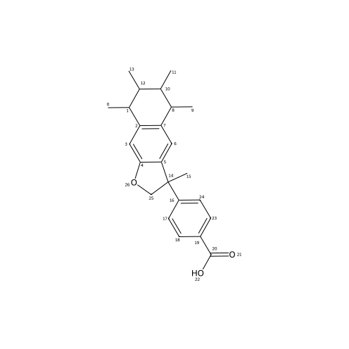 CC1c2cc3c(cc2C(C)C(C)C1C)C(C)(c1ccc(C(=O)O)cc1)CO3